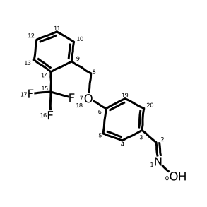 ON=Cc1ccc(OCc2ccccc2C(F)(F)F)cc1